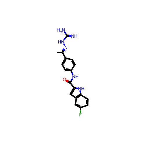 C/C(=N\NC(=N)N)c1ccc(NC(=O)c2cc3cc(F)ccc3[nH]2)cc1